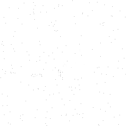 CNCCNOCc1ccccc1